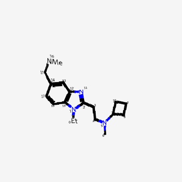 CCn1c(CCN(C)C2CCC2)nc2cc(CNC)ccc21